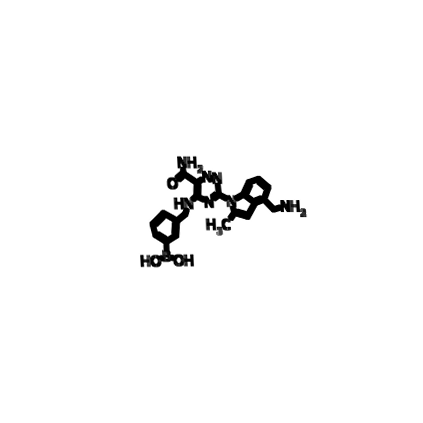 Cc1cc2c(CN)cccc2n1-c1nnc(C(N)=O)c(NCc2cccc(B(O)O)c2)n1